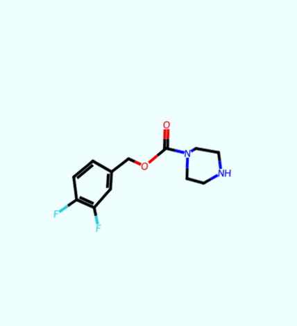 O=C(OCc1ccc(F)c(F)c1)N1CCNCC1